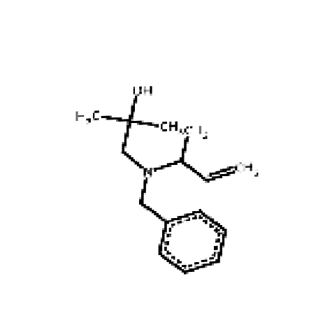 C=CC(C)N(Cc1ccccc1)CC(C)(C)O